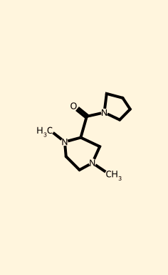 CN1CCN(C)C(C(=O)N2CCCC2)C1